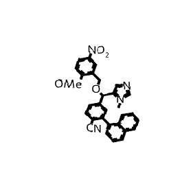 COc1ccc([N+](=O)[O-])cc1COC(c1ccc(C#N)c(-c2cccc3ccccc23)c1)c1cncn1C